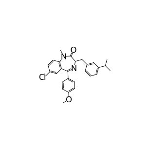 COc1ccc(C2=NC(Cc3cccc(C(C)C)c3)C(=O)N(C)c3ccc(Cl)cc32)cc1